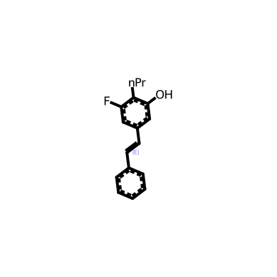 CCCc1c(O)cc(/C=C/c2ccccc2)cc1F